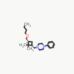 CCCCOC[C@H]1C[C@@H](CN2CCN(c3ccccc3)CC2)C1(C)C